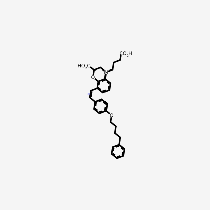 O=C(O)CCCN1CC(C(=O)O)Oc2c(/C=C\c3ccc(OCCCCc4ccccc4)cc3)cccc21